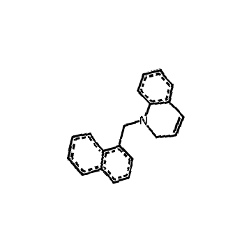 C1=Cc2ccccc2N(Cc2cccc3ccccc23)C1